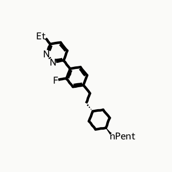 CCCCC[C@H]1CC[C@H](CCc2ccc(-c3ccc(CC)nn3)c(F)c2)CC1